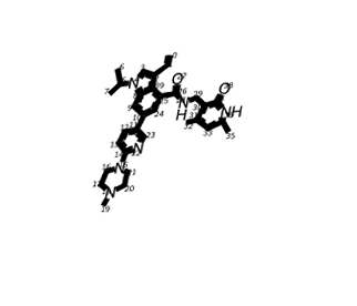 C=Cc1cn(C(C)C)c2cc(-c3ccc(N4CCN(C)CC4)nc3)cc(C(=O)NCc3c(C)cc(C)[nH]c3=O)c12